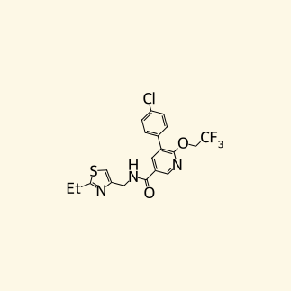 CCc1nc(CNC(=O)c2cnc(OCC(F)(F)F)c(-c3ccc(Cl)cc3)c2)cs1